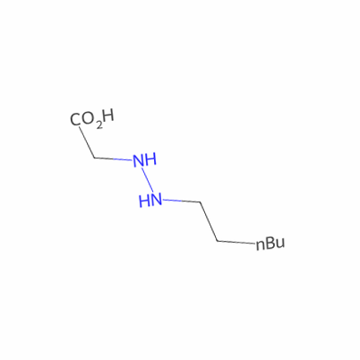 [CH2]CCCCCNNCC(=O)O